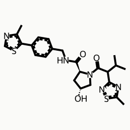 Cc1nc(C(C(=O)N2C[C@H](O)C[C@H]2C(=O)NCc2ccc(-c3scnc3C)cc2)C(C)C)ns1